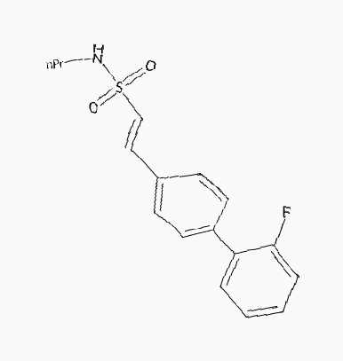 CCCNS(=O)(=O)C=Cc1ccc(-c2ccccc2F)cc1